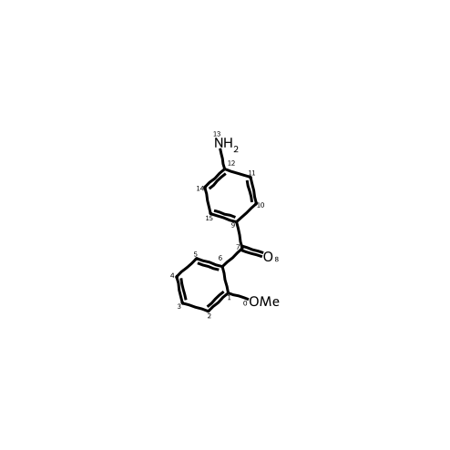 COc1ccccc1C(=O)c1ccc(N)cc1